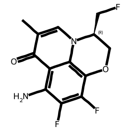 Cc1cn2c3c(c(F)c(F)c(N)c3c1=O)OC[C@@H]2CF